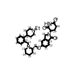 CCN1CCC(c2ccccc2CN2CCCC[C@@H]2COc2ccc3c(c2)CN(C2CCC(=O)NC2=O)C3=O)CC1